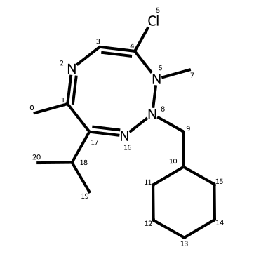 Cc1ncc(Cl)n(C)n(CC2CCCCC2)nc1C(C)C